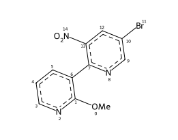 COc1ncccc1-c1ncc(Br)cc1[N+](=O)[O-]